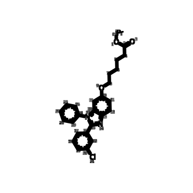 CC(C)OC(=O)CCCCCOc1ccc2nc(-c3cccc(Cl)c3)n(-c3ccccc3)c2c1